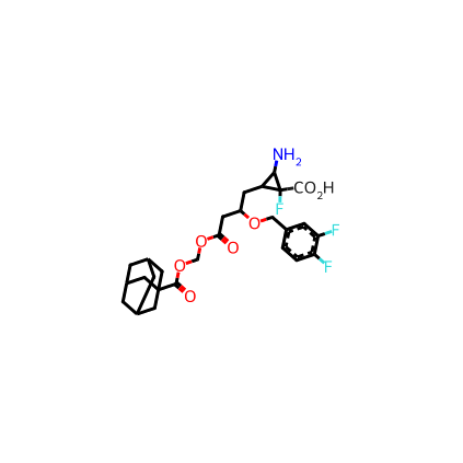 NC1C(CC(CC(=O)OCOC(=O)C23CC4CC(CC(C4)C2)C3)OCc2ccc(F)c(F)c2)C1(F)C(=O)O